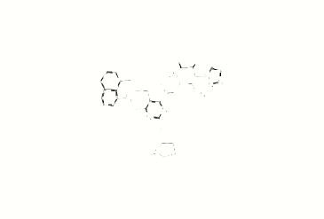 C=C(Cn1ccnn1)C(=O)N1CCN(c2nc(OC[C@@H]3CCCN3C)nc3c2CCN(c2cccc4cccc(Cl)c24)C3)C[C@@H]1CC#N